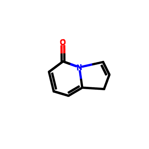 O=c1cccc2n1C=CC2